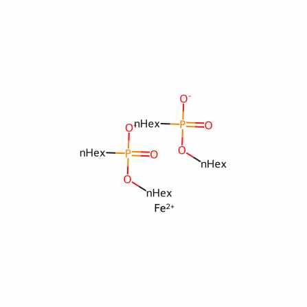 CCCCCCOP(=O)([O-])CCCCCC.CCCCCCOP(=O)([O-])CCCCCC.[Fe+2]